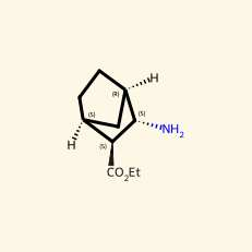 CCOC(=O)[C@H]1[C@H]2CC[C@H](C2)[C@@H]1N